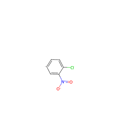 O=[N+]([O-])c1c[c]ccc1Cl